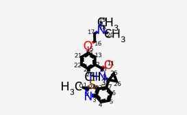 Cc1nc2cccc(C3(NC(=O)c4cc(OCCN(C)C)ccc4C)CC3)c2s1